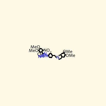 C/N=N\C(=N/Nc1ccc(CCN2CCc3cc(OC)c(OC)cc3C2)cc1)c1cc(OC)c(OC)cc1[N+](=O)[O-]